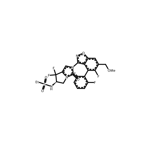 CCS(=O)(=O)N[C@@H]1Cn2c(cn(-c3noc4cc(COC)c(F)c(-c5c(F)cccc5F)c34)c2=O)C1(F)F